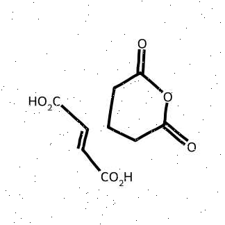 O=C(O)C=CC(=O)O.O=C1CCCC(=O)O1